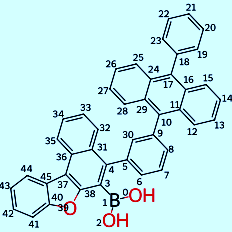 OB(O)c1c(-c2cccc(-c3c4ccccc4c(-c4ccccc4)c4ccccc34)c2)c2ccccc2c2c1oc1ccccc12